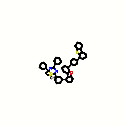 CS12CCC1(c1ccccc1)N=C(c1ccccc1)N=C2c1cccc(-c2cccc3oc4c(-c5ccc(-c6cccc7c6sc6ccccc67)cc5)cccc4c23)c1